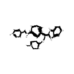 CN1CCC(OC(c2cccc(OCc3ccncc3)c2)c2nc3ccccc3s2)CC1